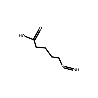 N=NCCCCC(=O)O